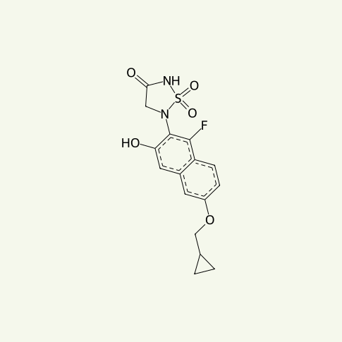 O=C1CN(c2c(O)cc3cc(OCC4CC4)ccc3c2F)S(=O)(=O)N1